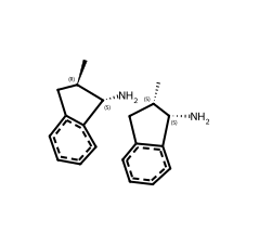 C[C@@H]1Cc2ccccc2[C@H]1N.C[C@H]1Cc2ccccc2[C@H]1N